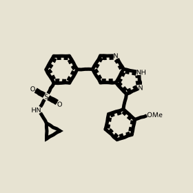 COc1ccccc1-c1n[nH]c2ncc(-c3cccc(S(=O)(=O)NC4CC4)c3)cc12